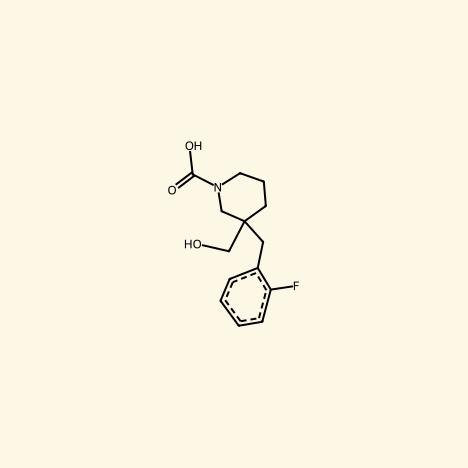 O=C(O)N1CCCC(CO)(Cc2ccccc2F)C1